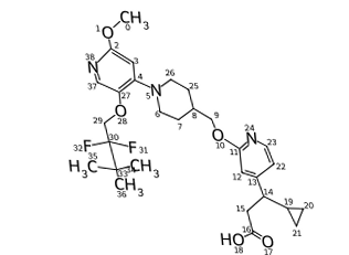 COc1cc(N2CCC(COc3cc(C(CC(=O)O)C4CC4)ccn3)CC2)c(OCC(F)(F)C(C)(C)C)cn1